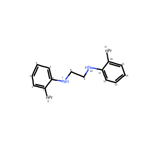 CCCc1ccccc1NCCNc1ccccc1CCC